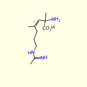 CC(=N)NCCC/C(C)=C\C(C)(N)C(=O)O